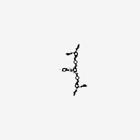 C=CC(=O)OCOc1ccc(OC(=O)C2CCC(C(=O)Oc3ccc(OC(=O)C4CCC(C(=O)Oc5ccc(OCOC(=O)C=C)c(OCOC(=O)C=C)c5)CC4)c4sc(/N=N/c5ccc([N+](=O)[O-])cc5)nc34)CC2)cc1OCOC(=O)C=C